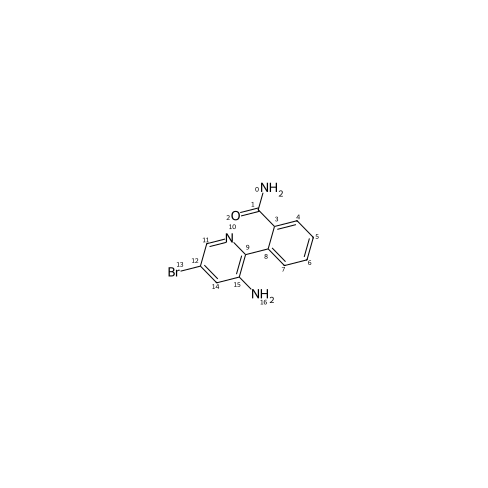 NC(=O)c1ccccc1-c1ncc(Br)cc1N